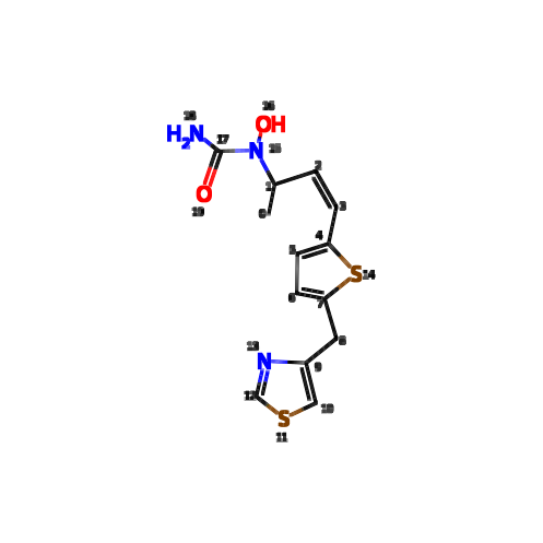 CC(/C=C\c1ccc(Cc2cscn2)s1)N(O)C(N)=O